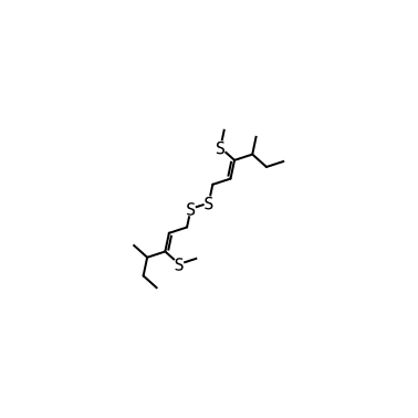 CCC(C)C(=CCSSCC=C(SC)C(C)CC)SC